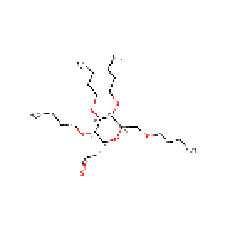 CCCCOC[C@H]1O[C@H](CC=O)[C@H](OCCCC)[C@@H](OCCCC)[C@@H]1OCCCC